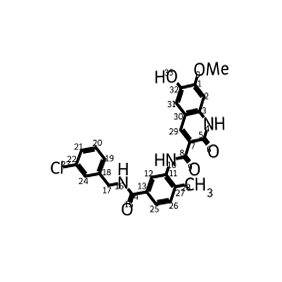 COc1cc2[nH]c(=O)c(C(=O)Nc3cc(C(=O)NCc4cccc(Cl)c4)ccc3C)cc2cc1O